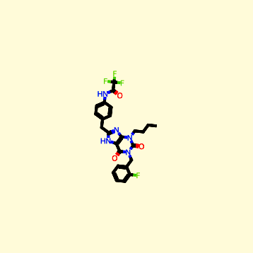 CCCCn1c(=O)n(Cc2ccccc2F)c(=O)c2[nH]c(Cc3ccc(NC(=O)C(F)(F)F)cc3)nc21